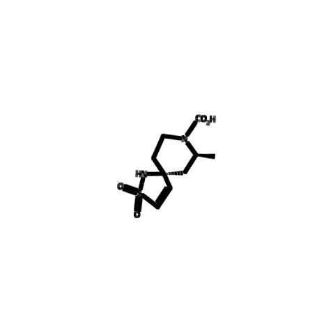 C[C@H]1C[C@@]2(C=CS(=O)(=O)N2)CCN1C(=O)O